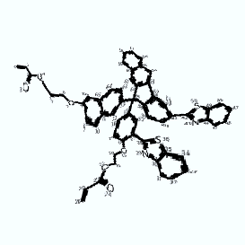 C=CC(=O)OCCOc1ccc2cc(C3(c4ccc(OCCOC(=O)C=C)c(-c5nc6ccccc6s5)c4)c4ccc(-c5nc6ccccc6s5)cc4-c4cc5ccccc5cc43)ccc2c1